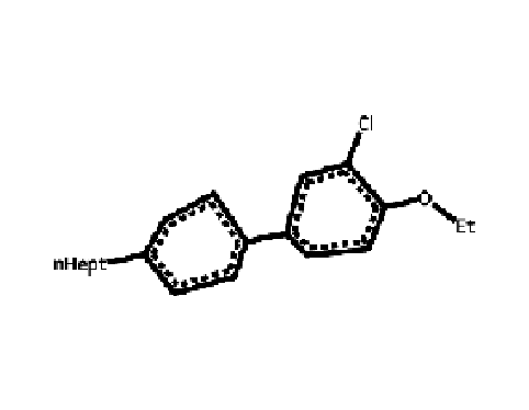 CCCCCCCc1ccc(-c2ccc(OCC)c(Cl)c2)cc1